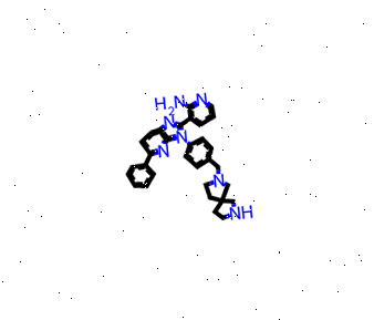 Nc1ncccc1-c1nc2ccc(-c3ccccc3)nc2n1-c1ccc(CN2CCC3(CCNC3)C2)cc1